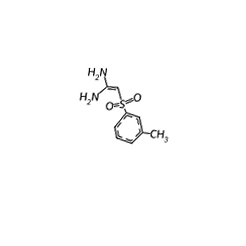 Cc1cccc(S(=O)(=O)C=C(N)N)c1